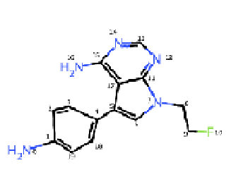 Nc1ccc(-c2cn(CCF)c3ncnc(N)c23)cc1